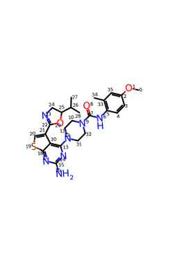 COc1ccc(NC(=O)N2CCN(c3nc(N)nc4scc(C5=NCC(C(C)C)O5)c34)CC2)c(C)c1